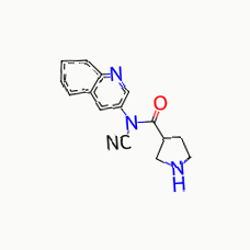 N#CN(C(=O)C1CCNC1)c1cnc2ccccc2c1